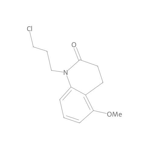 COc1cccc2c1CCC(=O)N2CCCCl